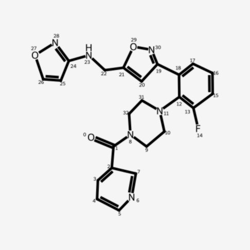 O=C(c1cccnc1)N1CCN(c2c(F)cccc2-c2cc(CNc3ccon3)on2)CC1